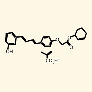 C=C(C)C(=O)OCC.O=C(COc1ccc(C=CC=Cc2cccc(O)c2)cc1)OC1C=CCCC1